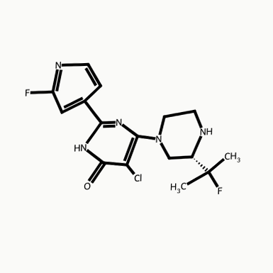 CC(C)(F)[C@@H]1CN(c2nc(-c3ccnc(F)c3)[nH]c(=O)c2Cl)CCN1